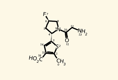 Cc1sc([C@@H]2C[C@@H](F)CN2C(=O)CN)cc1C(=O)O